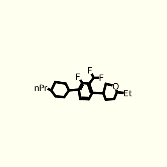 CCCC1CCC(c2ccc(C3CCC(CC)OC3)c(C(F)F)c2F)CC1